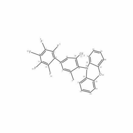 Cc1cc(-c2c(F)c(F)c(F)c(F)c2F)cc(C(F)(F)F)c1N1c2ccccc2Oc2ccccc21